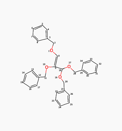 C(OCc1ccccc1)=C(OCc1ccccc1)[C](OCc1ccccc1)OCc1ccccc1